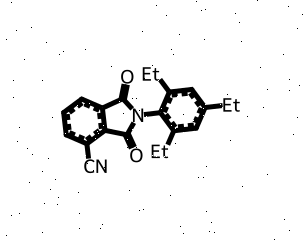 CCc1cc(CC)c(N2C(=O)c3cccc(C#N)c3C2=O)c(CC)c1